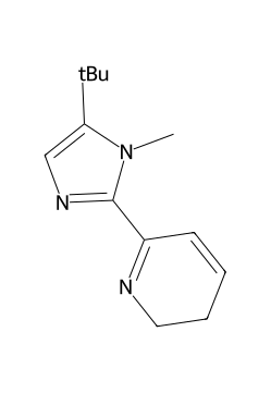 Cn1c(C(C)(C)C)cnc1C1=NCCC=C1